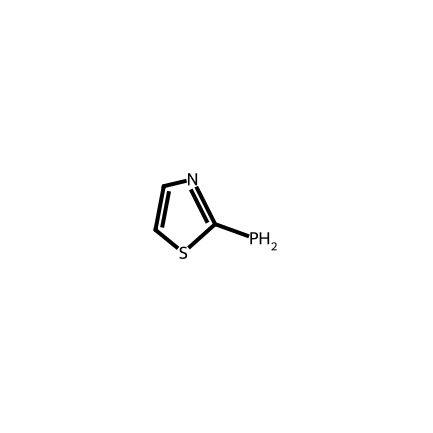 Pc1nccs1